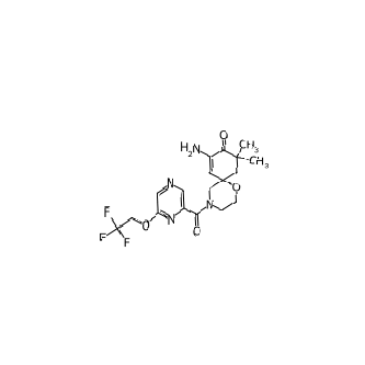 CC1(C)CC2(C=C(N)C1=O)CN(C(=O)c1cncc(OCC(F)(F)F)n1)CCO2